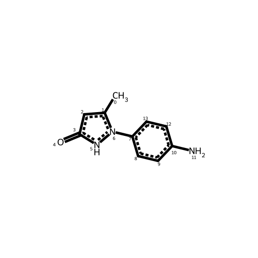 Cc1cc(=O)[nH]n1-c1ccc(N)cc1